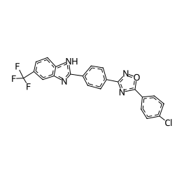 FC(F)(F)c1ccc2[nH]c(-c3ccc(-c4noc(-c5ccc(Cl)cc5)n4)cc3)nc2c1